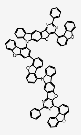 c1ccc(-c2nc(-c3cccc4oc5ccccc5c34)c3oc4cc5c(cc4c3n2)c2ccccc2n5-c2cc(-c3cccc4c3oc3cccc(-n5c6ccccc6c6cc7oc8c(-c9cccc%10oc%11ccccc%11c9%10)nc(-c9ccccc9)nc8c7cc65)c34)cc3oc4ccccc4c23)cc1